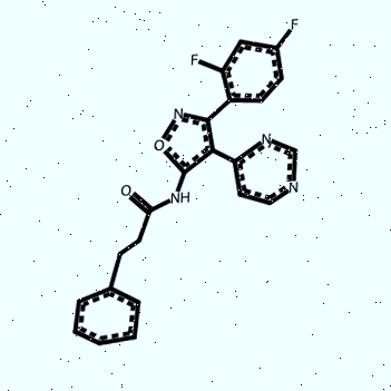 O=C(CCc1ccccc1)Nc1onc(-c2ccc(F)cc2F)c1-c1ccncn1